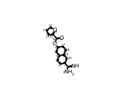 N=C(N)c1ccc2cc(OC(=O)c3ccco3)ccc2c1